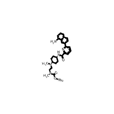 CN(CCN(C)[C@H]1CC[C@H](NC(=O)c2cccc(-c3ccc4cccc(N)c4c3)n2)CC1)C(=O)OC(C)(C)C